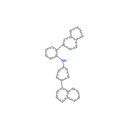 c1ccc(-c2ccc3ccccc3c2)c(Nc2ccc(-c3cccc4ccccc34)cc2)c1